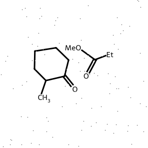 CC1CCCCC1=O.CCC(=O)OC